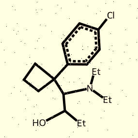 CCC(O)C(N(CC)CC)C1(c2ccc(Cl)cc2)CCC1